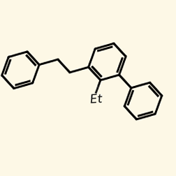 CCc1c(CCc2ccccc2)cccc1-c1ccccc1